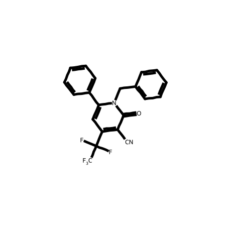 N#Cc1c(C(F)(F)C(F)(F)F)cc(-c2ccccc2)n(Cc2ccccc2)c1=O